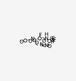 CCOc1cc(OCc2ccc(OC)cc2)ncc1-c1ccc(CC(=O)Nc2cc(C(=O)N3CC[C@H](N(C)C)C3)cc(S(F)(F)(F)(F)F)c2)c(F)c1